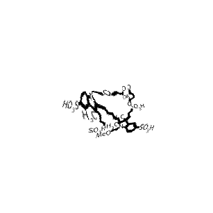 COCCN1c2ccc(S(=O)(=O)O)cc2C(C)(CCCS(=O)(=O)O)C1(C)/C=C/C=C/C=C1/N(CCOCCC(=O)ON2C(=O)CCC2=O)c2ccc(S(=O)(=O)O)cc2C1(C)CCCS(=O)(=O)O